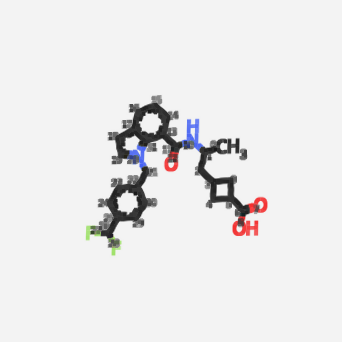 CC(CC1CC(C(=O)O)C1)NC(=O)c1cccc2ccn(Cc3ccc(C(F)F)cc3)c12